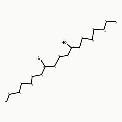 CCCCCCCC(O)CCCC(O)CCCCCCC